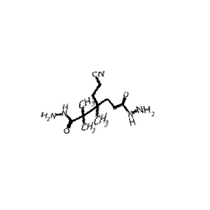 CC(CCC#N)(CCC(=O)NN)C(C)(C)C(=O)NN